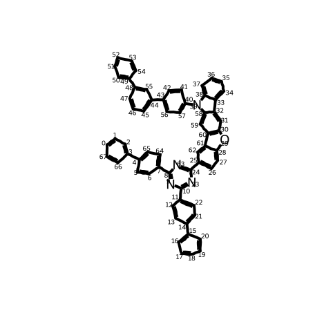 c1ccc(-c2ccc(-c3nc(-c4ccc(-c5ccccc5)cc4)nc(-c4ccc5oc6cc7c8ccccc8n(-c8ccc(-c9cccc(-c%10ccccc%10)c9)cc8)c7cc6c5c4)n3)cc2)cc1